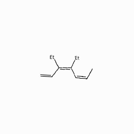 C=C/C(CC)=C(\C=C/C)CC